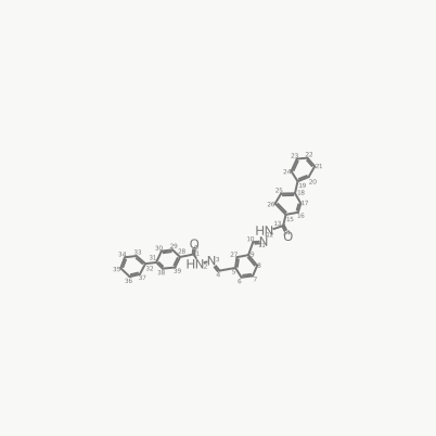 O=C(N/N=C/c1cccc(/C=N/NC(=O)c2ccc(-c3ccccc3)cc2)c1)c1ccc(-c2ccccc2)cc1